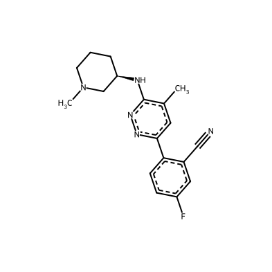 Cc1cc(-c2ccc(F)cc2C#N)nnc1N[C@@H]1CCCN(C)C1